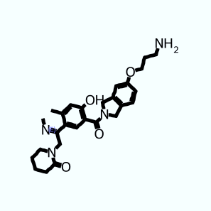 C/N=C(/CN1CCCCC1=O)c1cc(C(=O)N2Cc3ccc(OCCCN)cc3C2)c(O)cc1C